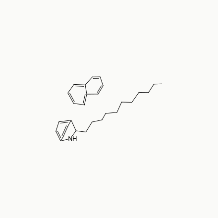 CCCCCCCCCCCC1Nc2ccc1cc2.c1ccc2ccccc2c1